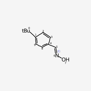 CC(C)(C)c1ccc(/C=N/O)cc1